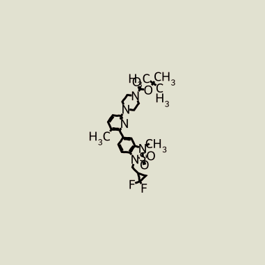 Cc1ccc(N2CCN(C(=O)OC(C)(C)C)CC2)nc1-c1ccc2c(c1)N(C)S(=O)(=O)N2CC1CC1(F)F